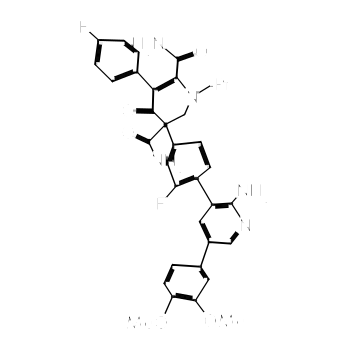 COc1ccc(-c2cnc(N)c(-c3ccc(C4(C(N)=O)CN(C(C)C)C(C(N)=O)=C(c5ccc(F)cc5)C4=O)cc3F)c2)cc1OC